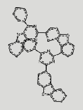 c1ccc(-c2nc(-c3ccc4sc5ccccc5c4c3)nc(-c3cccc4sc5ccc(-c6nc(-c7ccccc7)c7sc8ccccc8c7n6)cc5c34)n2)cc1